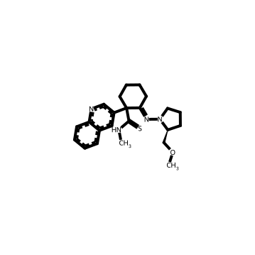 CNC(=S)C1(c2cnc3ccccc3c2)CCCCC1=NN1CCC[C@H]1COC